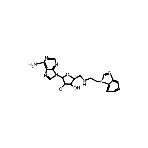 Nc1ncnc2c1ncn2C1OC(CNCCn2cnc3ccccc32)C(O)C1O